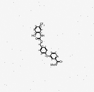 CNC(=O)c1cc(Oc2ccc(COC(=O)Nc3cc(C(F)(F)F)cnc3O)cc2)ccn1